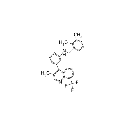 Cc1cccc(CNc2cccc(-c3c(C)cnc4c(C(F)(F)F)cccc34)c2)c1C